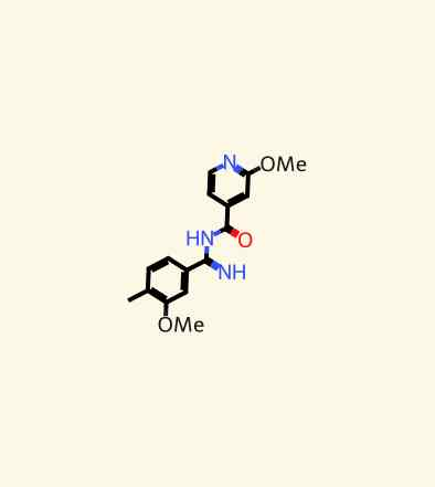 COc1cc(C(=O)NC(=N)c2ccc(C)c(OC)c2)ccn1